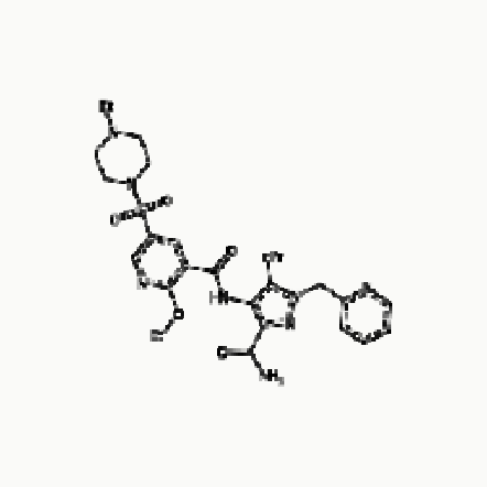 CCCc1c(NC(=O)c2cc(S(=O)(=O)N3CCN(CC)CC3)cnc2OCC)c(C(N)=O)nn1Cc1ccccn1